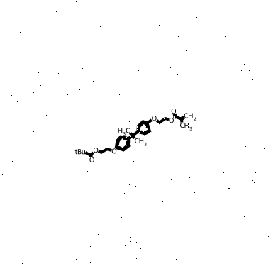 C=C(C)C(=O)OCCOc1ccc(C(C)(C)c2ccc(OCCOC(=O)C(C)(C)C)cc2)cc1